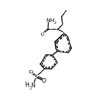 CCCC(C(N)=O)c1cccc(-c2ccc(S(N)(=O)=O)cc2)c1